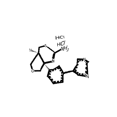 Cl.Cl.NC1=N[C@@]2(c3cccc(-c4cncnc4)c3)COC[C@H]2CS1